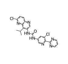 CC(C)c1c(NC(=O)Nc2cnc(-c3ncccn3)c(Cl)c2)cnc2ccc(Cl)nc12